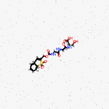 O=C(CNC(=O)OCC1=Cc2ccccc2S1(=O)=O)NCC(=O)N[C@H](CO)C(=O)O